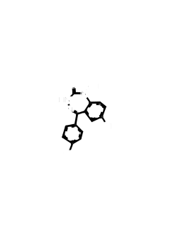 CN1C(=O)NN=C(c2ccc(Cl)cc2)c2cc(Cl)ccc21